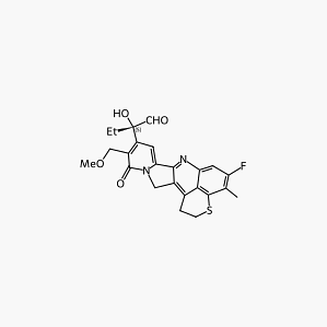 CC[C@@](O)(C=O)c1cc2n(c(=O)c1COC)Cc1c-2nc2cc(F)c(C)c3c2c1CCS3